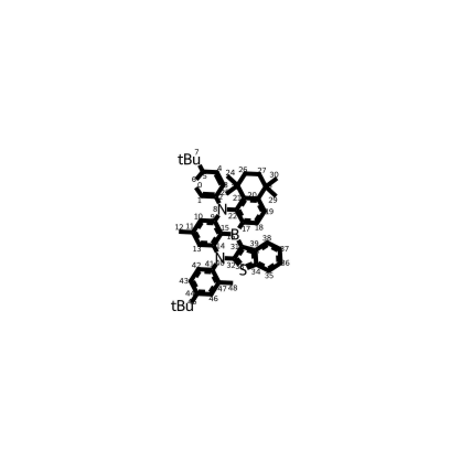 C/C=C(\C=C/C(C)C(C)(C)C)N1c2cc(C)cc3c2B(c2ccc4c(c21)C(C)(C)CCC4(C)C)c1c(sc2ccccc12)N3c1ccc(C(C)(C)C)cc1C